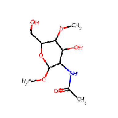 COC1OC(CO)C(OC)C(O)C1NC(C)=O